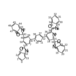 c1ccc2oc(-c3cc(-c4ccc(-c5cc(-c6nc7ccccc7o6)nc(-c6nc7ccccc7o6)c5)cc4)cc(-c4nc5ccccc5o4)c3)nc2c1